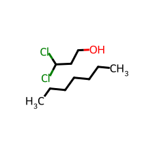 CCCCCCC.OCCC(Cl)Cl